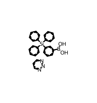 OB(O)c1cccc([Si](c2ccccc2)(c2ccccc2)c2ccccc2)c1.c1cnnnc1